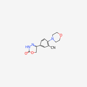 N#Cc1cc(C2=NNC(=O)OC2)ccc1N1CCOCC1